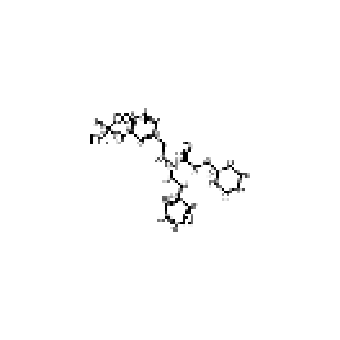 CCC(C)(Oc1cccc(CCN(CCc2cccnc2)C(=O)CCC2CCCCC2)c1)C(=O)O